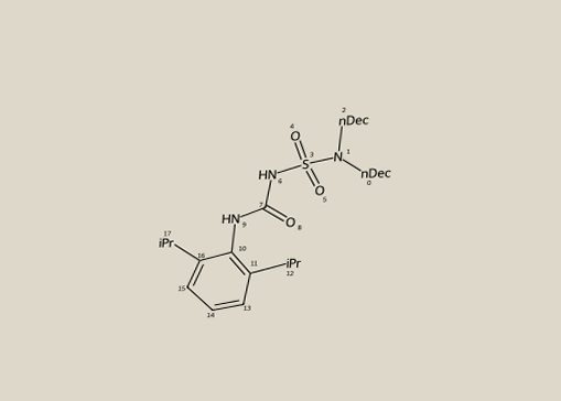 CCCCCCCCCCN(CCCCCCCCCC)S(=O)(=O)NC(=O)Nc1c(C(C)C)cccc1C(C)C